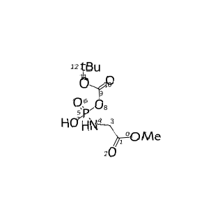 COC(=O)CNP(=O)(O)OC(=O)OC(C)(C)C